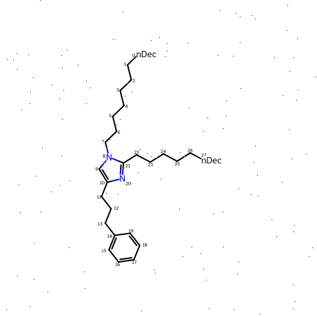 CCCCCCCCCCCCCCCCCn1cc(CCCc2ccccc2)nc1CCCCCCCCCCCCCCC